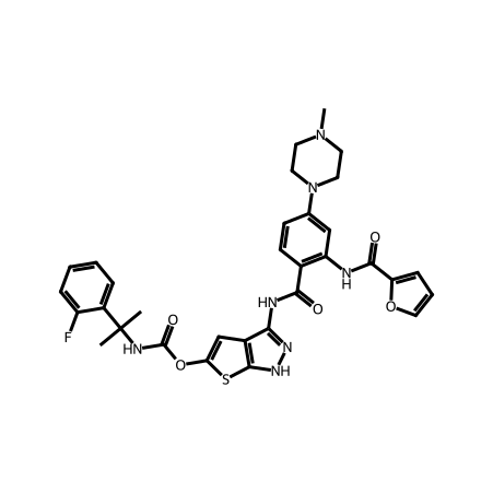 CN1CCN(c2ccc(C(=O)Nc3n[nH]c4sc(OC(=O)NC(C)(C)c5ccccc5F)cc34)c(NC(=O)c3ccco3)c2)CC1